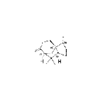 C=C1CC[C@]23C[C@H]1C(C)(C)[C@@H]2CC[C@H]3C